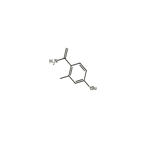 C=C(N)c1ccc(C(C)(C)C)cc1C